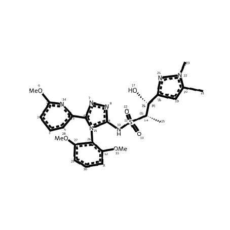 COc1cccc(-c2nnc(NS(=O)(=O)[C@@H](C)[C@H](O)c3cc(C)n(C)n3)n2-c2c(OC)cccc2OC)n1